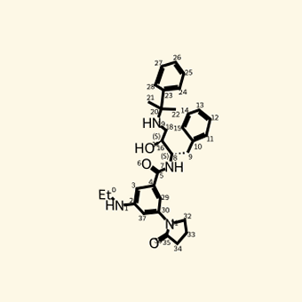 CCNc1cc(C(=O)N[C@@H](Cc2ccccc2)[C@@H](O)CNC(C)(C)c2ccccc2)cc(N2CCCC2=O)c1